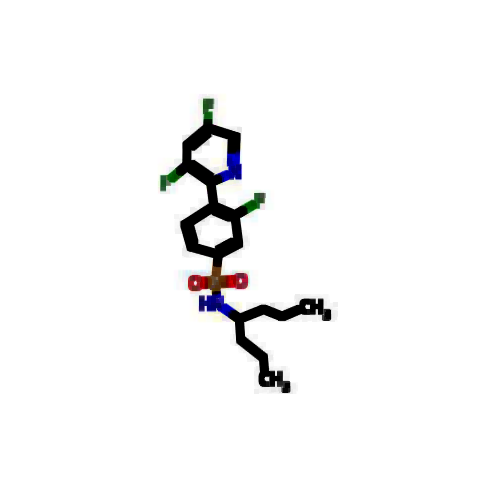 CCCC(CCC)NS(=O)(=O)c1ccc(-c2ncc(F)cc2F)c(F)c1